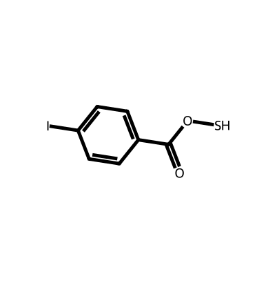 O=C(OS)c1ccc(I)cc1